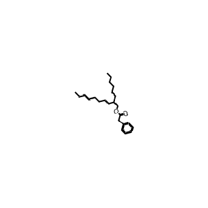 CCCCCCCCC(CCCCCC)COC(=O)Cc1ccccc1